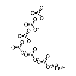 [Al+3].[Fe+3].[O]=[V](=[O])[O-].[O]=[V](=[O])[O-].[O]=[V](=[O])[O-].[O]=[V](=[O])[O-].[O]=[V](=[O])[O-].[O]=[V](=[O])[O-]